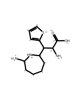 NC1CCCCC(C(c2cccs2)C(N)C(=O)O)N1